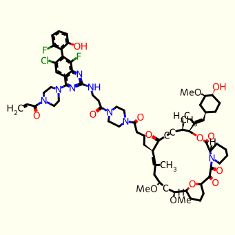 C=CC(=O)N1CCN(c2nc(NCCC(=O)N3CCN(C(=O)CCC[C@@H]4/C=C(\C)C[C@H](OC)C[C@H](OC)[C@@H]5CCCC(O5)C(=O)C(=O)N5CCCC[C@H]5C(=O)O[C@H](/C(C)=C/[C@@H]5CC[C@@H](O)[C@H](OC)C5)[C@H](C)CCC4=O)CC3)nc3c(F)c(-c4c(O)cccc4F)c(Cl)cc23)CC1